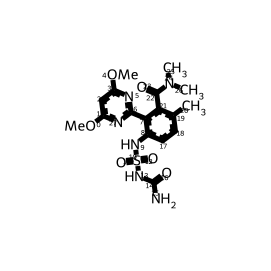 COc1cc(OC)nc(-c2c(NS(=O)(=O)NC(N)=O)ccc(C)c2C(=O)N(C)C)n1